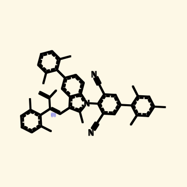 C=C(C)/C(=C\c1c(C)n(-c2c(C#N)cc(-c3c(C)cc(C)cc3C)cc2C#N)c2ccc(-c3c(C)cccc3C)cc12)c1c(C)cccc1C